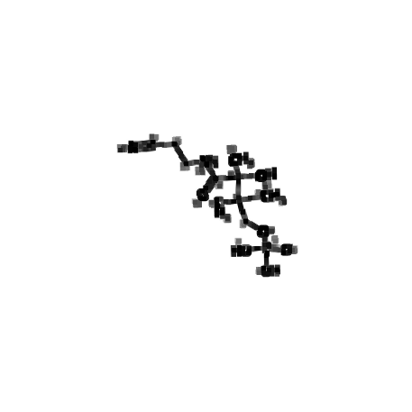 CC(C)(COP(=O)(O)O)C(C)(O)C(=O)NCCC#N